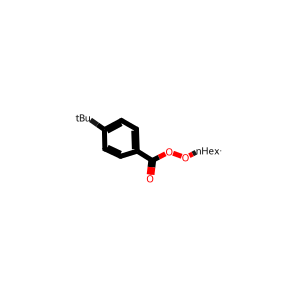 [CH2]CCCC[CH]OOC(=O)c1ccc(C(C)(C)C)cc1